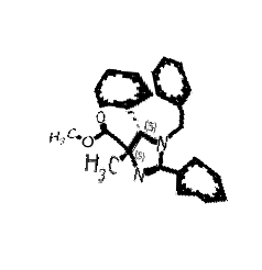 COC(=O)[C@@]1(C)N=C(c2ccccc2)N(Cc2ccccc2)[C@H]1c1ccccc1